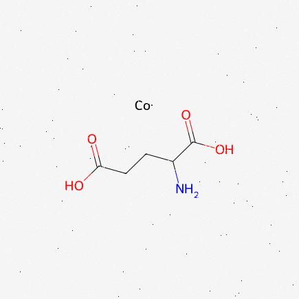 NC(CCC(=O)O)C(=O)O.[Co]